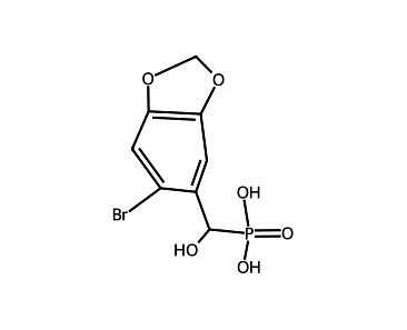 O=P(O)(O)C(O)c1cc2c(cc1Br)OCO2